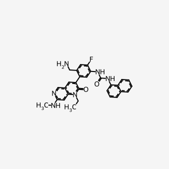 CCn1c(=O)c(-c2cc(NC(=O)Nc3cccc4ccccc34)c(F)cc2CN)cc2cnc(NC)cc21